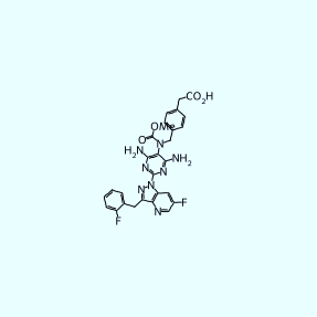 COC(=O)N(Cc1ccc(CC(=O)O)cc1)c1c(N)nc(-n2nc(Cc3ccccc3F)c3ncc(F)cc32)nc1N